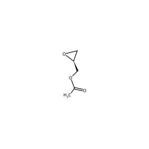 CC(=O)OC[C@@H]1CO1